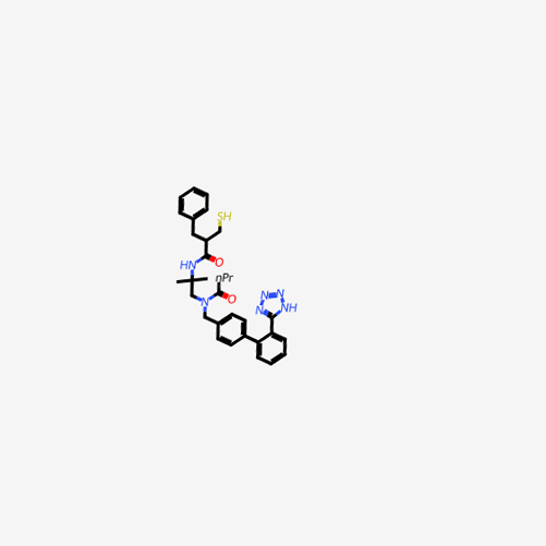 CCCC(=O)N(Cc1ccc(-c2ccccc2-c2nnn[nH]2)cc1)CC(C)(C)NC(=O)C(CS)Cc1ccccc1